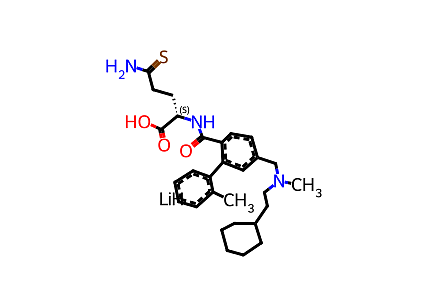 Cc1ccccc1-c1cc(CN(C)CCC2CCCCC2)ccc1C(=O)N[C@@H](CCC(N)=S)C(=O)O.[LiH]